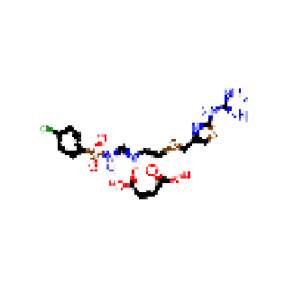 N=C(N)Nc1nc(CSCCN=CNS(=O)(=O)c2ccc(Cl)cc2)cs1.O=C(O)/C=C\C(=O)O